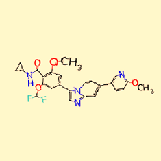 COc1ccc(-c2ccn3c(-c4cc(OC)c(C(=O)NC5CC5)c(OC(F)F)c4)cnc3c2)cn1